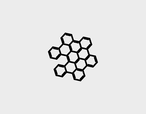 c1ccc2c(c1)c1cccc3c4cccc5c6cccc7c8cccc9c%10ccccc%10c%10c2c(c13)c(c45)c(c76)c%10c98